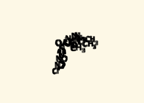 COc1cc(C(=O)N2CCN(c3nc4nc(Cl)ccc4o3)CC2)cnc1-c1nnn(CC(C)(C)C)n1